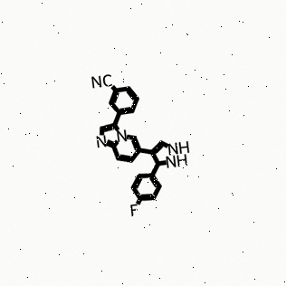 N#Cc1cccc(-c2cnc3ccc(C4=CNNC4c4ccc(F)cc4)cn23)c1